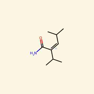 CC(C)/C=C(\C(N)=O)C(C)C